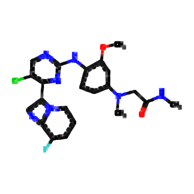 CNC(=O)CN(C)c1ccc(Nc2ncc(Cl)c(-c3cnc4c(F)cccn34)n2)c(OC)c1